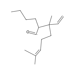 C=CC(C)(CCC=C(C)C)C([C]=O)CCCC